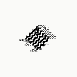 CCCCCCCCCCCCCCCCCC(=O)[O-].CCCCCCCCCCCCCCCCCC(=O)[O-].CCCCCCCCCCCCCCCCCC(=O)[O-].CCCCCCCCCCCCCCCCCC(=O)[O-].CCCCCCCCCCCCCCCCCC(=O)[O-].CCCCCCCCCCCCCCCCCC(=O)[O-].[B+3].[Sb+3]